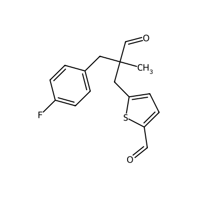 CC(C=O)(Cc1ccc(F)cc1)Cc1ccc(C=O)s1